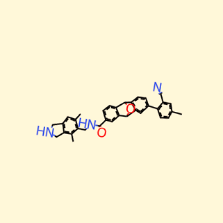 Cc1ccc(-c2ccc3c(c2)C2OC3c3ccc(C(=O)NCc4c(C)cc5c(c4C)CNC5)cc32)c(C#N)c1